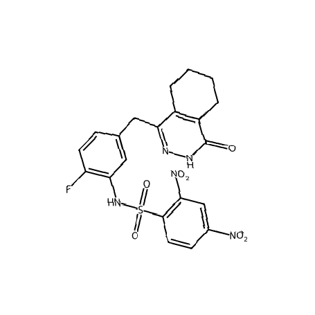 O=c1[nH]nc(Cc2ccc(F)c(NS(=O)(=O)c3ccc([N+](=O)[O-])cc3[N+](=O)[O-])c2)c2c1CCCC2